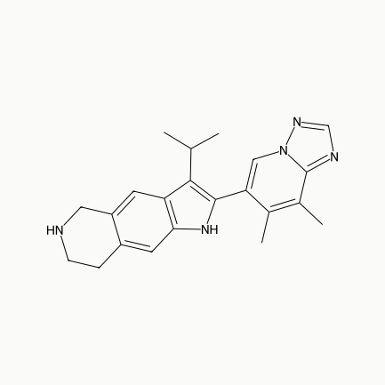 Cc1c(-c2[nH]c3cc4c(cc3c2C(C)C)CNCC4)cn2ncnc2c1C